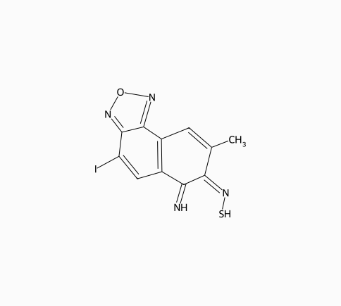 CC1=Cc2c(cc(I)c3nonc23)C(=N)/C1=N\S